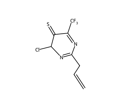 C=CCC1=NC(Cl)C(=S)C(C(F)(F)F)=N1